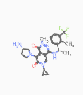 Cc1c([C@@H](C)Nc2nn(C)c(=O)c3c(N4CC[C@H](N)C4)c(=O)n(C4CC4)cc23)cccc1C(F)(F)F